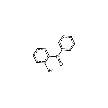 CC(C)c1ccccc1[P](=O)c1ccccc1